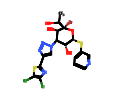 OC(C(F)(F)F)[C@@]1(Br)O[C@H](Sc2cccnc2)[C@H](O)[C@@H](n2cc(-c3nc(Cl)c(Cl)s3)nn2)[C@H]1O